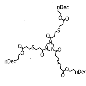 CCCCCCCCCCCCOC(=O)CCSCCC(=O)N1CN(C(=O)CCSCCC(=O)OCCCCCCCCCCCC)CN(C(=O)CCSCCC(=O)OCCCCCCCCCCCC)C1